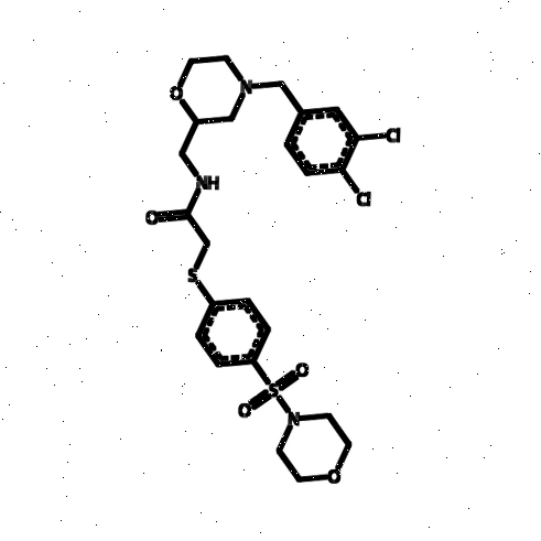 O=C(CSc1ccc(S(=O)(=O)N2CCOCC2)cc1)NCC1CN(Cc2ccc(Cl)c(Cl)c2)CCO1